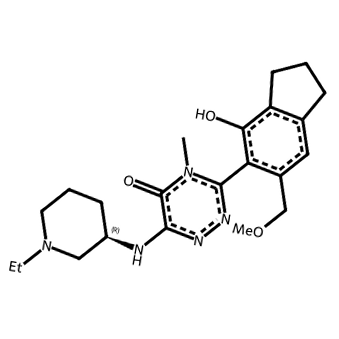 CCN1CCC[C@@H](Nc2nnc(-c3c(COC)cc4c(c3O)CCC4)n(C)c2=O)C1